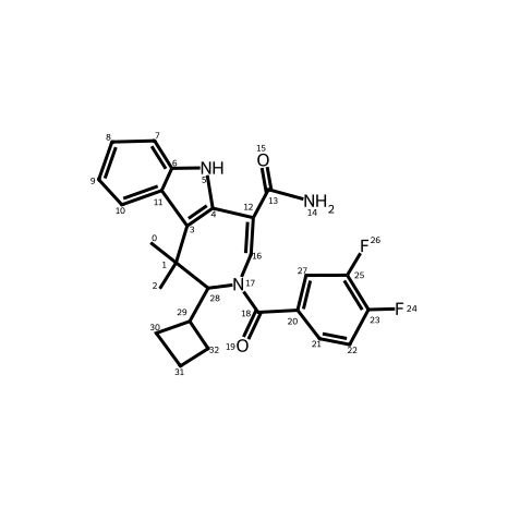 CC1(C)c2c([nH]c3ccccc23)C(C(N)=O)=CN(C(=O)c2ccc(F)c(F)c2)C1C1CCC1